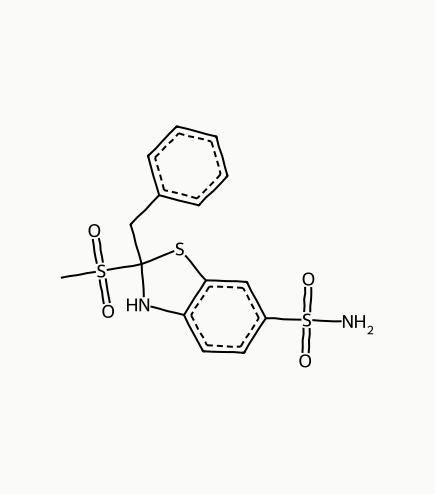 CS(=O)(=O)C1(Cc2ccccc2)Nc2ccc(S(N)(=O)=O)cc2S1